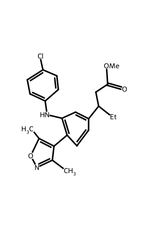 CCC(CC(=O)OC)c1ccc(-c2c(C)noc2C)c(Nc2ccc(Cl)cc2)c1